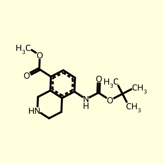 COC(=O)c1ccc(NC(=O)OC(C)(C)C)c2c1CNCC2